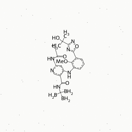 BC(B)(B)NC(=O)c1cnc(NC(=O)C2CC2)cc1Nc1cccc(-c2nc(C(C)(C)O)no2)c1OC